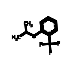 CC(C)Oc1ccccc1C(F)(F)F